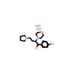 Cl.Cl.O=C(c1ccc(Cl)cc1)C(CCN1CCCC1)N1CCOCC1